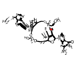 Nc1nc2c(ncn2[C@@H]2O[C@@H]3COP(O)(=S)O[C@@H]4[C@H](N)[C@@H](COP(=S)(CO)O[C@@H]2[C@@H]3F)O[C@H]4n2cnc3c(N)ncnc32)c(=O)[nH]1